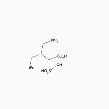 CC(C)C[C@H](CN)CC(=O)O.O=S(=O)(O)O